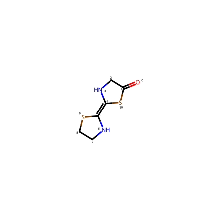 O=C1CNC(=C2NCCS2)S1